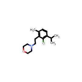 Cc1ccc(C(C)C)c(Cl)c1CCN1CCOCC1